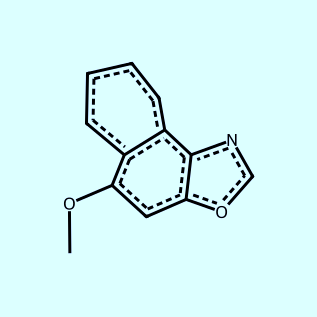 COc1cc2ocnc2c2ccccc12